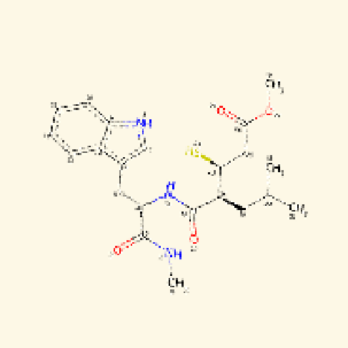 CNC(=O)[C@H](Cc1c[nH]c2ccccc12)NC(=O)[C@H](CC(C)C)[C@@H](S)CC(=O)OC